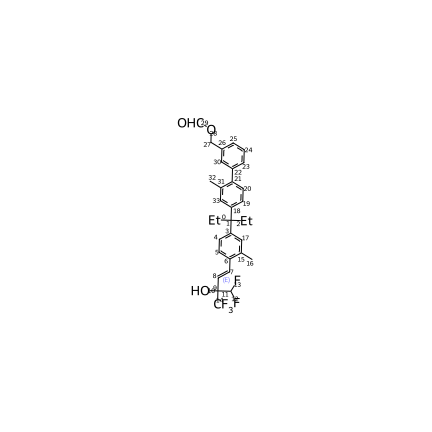 CCC(CC)(c1ccc(/C=C/C(O)(C(F)F)C(F)(F)F)c(C)c1)c1ccc(-c2cccc(COC=O)c2)c(C)c1